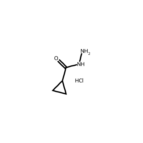 Cl.NNC(=O)C1CC1